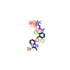 CC(=O)N(CC(=O)N(C)c1ccc(Cl)c(COc2cccn3c(Br)c(C)nc23)c1Cl)OS(C)(=O)=O